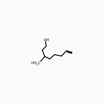 C=CCCCC(CCO)C(=O)O